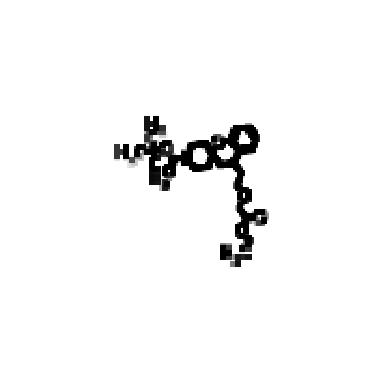 CCOC(=O)COCCC1CC2(CCN(C(=O)OC(C)(C)C)CC2)Oc2ccccc21